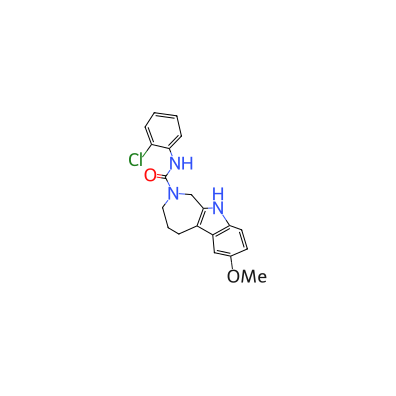 COc1ccc2[nH]c3c(c2c1)CCCN(C(=O)Nc1ccccc1Cl)C3